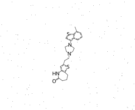 Cc1cccc2c(N3CCN(CCc4cc5c(s4)CCCC(=O)N5)CC3)csc12